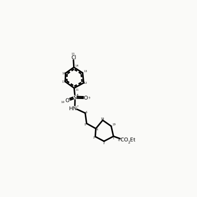 CCOC(=O)C1CCC(CCNS(=O)(=O)c2ccc(Cl)cc2)CC1